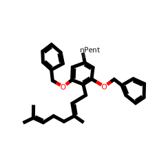 CCCCCc1cc(OCc2ccccc2)c(C/C=C(\C)CCC=C(C)C)c(OCc2ccccc2)c1